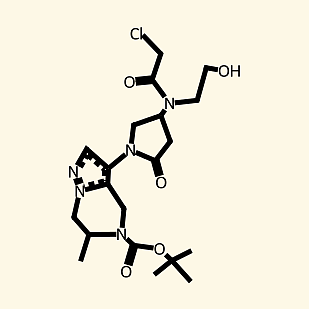 CC1Cn2ncc(N3CC(N(CCO)C(=O)CCl)CC3=O)c2CN1C(=O)OC(C)(C)C